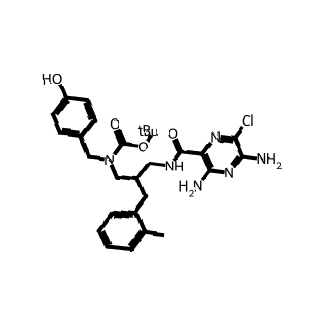 Cc1ccccc1CC(CNC(=O)c1nc(Cl)c(N)nc1N)CN(Cc1ccc(O)cc1)C(=O)OC(C)(C)C